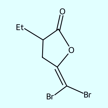 CCC1CC(=C(Br)Br)OC1=O